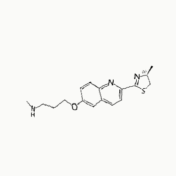 CNCCCOc1ccc2nc(C3=N[C@@H](C)CS3)ccc2c1